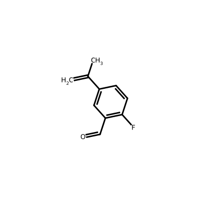 C=C(C)c1ccc(F)c(C=O)c1